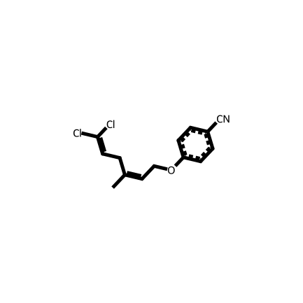 CC(=CCOc1ccc(C#N)cc1)CC=C(Cl)Cl